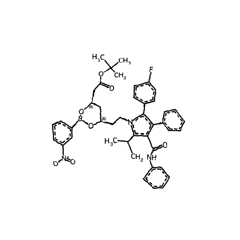 CC(C)c1c(C(=O)Nc2ccccc2)c(-c2ccccc2)c(-c2ccc(F)cc2)n1CC[C@@H]1C[C@H](CC(=O)OC(C)(C)C)OB(c2cccc([N+](=O)[O-])c2)O1